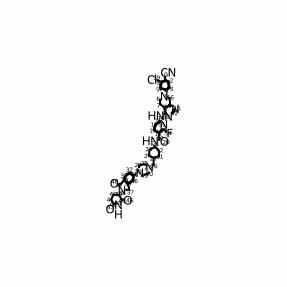 N#Cc1ccc(N2CCc3c(ncnc3Nc3ccc(C(=O)NC4CCC(CN5CCN(c6ccc7c(c6)CN(C6CCC(=O)NC6=O)C7=O)CC5)CC4)c(F)n3)C2)cc1Cl